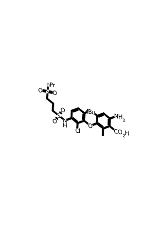 CCCS(=O)(=O)CCCS(=O)(=O)Nc1ccc(F)c(Oc2c(C(C)(C)C)cc(N)c(C(=O)O)c2C)c1Cl